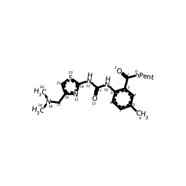 CCCCCC(=O)c1cc(C)ccc1NC(=O)Nc1nc(CN(C)C)cs1